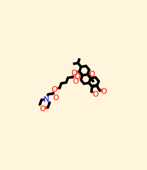 CC(C)C1CC2OC23C2(C)CCC4=C(COC4=O)C2CC2OC23C1OC(=O)CCCCOC(=O)CN1CCOCC1